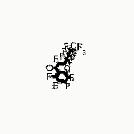 O=c1c(F)c(C(F)(F)C(F)(F)C(F)(F)C(F)(F)F)oc2c(F)c(F)c(F)c(F)c12